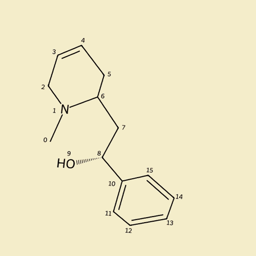 CN1CC=CCC1C[C@@H](O)c1ccccc1